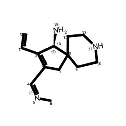 C=CC1=C(/C=N\C)CC2(CCNCC2)[C@@H]1N